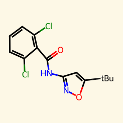 CC(C)(C)c1cc(NC(=O)c2c(Cl)cccc2Cl)no1